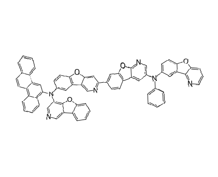 c1ccc(N(c2cnc3oc4cc(-c5cc6oc7ccc(N(c8cc9c%10ccccc%10ccc9c9ccccc89)c8cncc9c8oc8ccccc89)cc7c6cn5)ccc4c3c2)c2ccc3oc4cccnc4c3c2)cc1